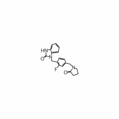 O=C1CCCN1Cc1ccc(Cn2c(=O)[nH]c3ccccc32)c(F)c1